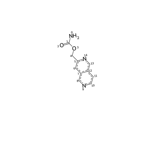 NC(=O)OCc1cc2cnccc2cn1